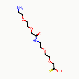 NCCOCCOCC(=O)NCCOCCOCC(O)=S